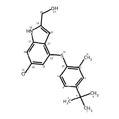 Cc1cc(C(C)(C)C)ccc1Sc1cc(Cl)cc2[nH]c(CO)cc12